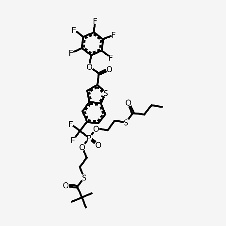 CCCC(=O)SCCOP(=O)(OCCSC(=O)C(C)(C)C)C(F)(F)c1ccc2sc(C(=O)Oc3c(F)c(F)c(F)c(F)c3F)cc2c1